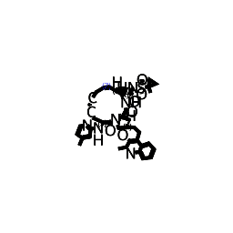 Cc1ccnc(N[C@H]2CCCCC/C=C\[C@@H]3C[C@@]3(C(=O)NS(=O)(=O)C3(C)CC3)NC(=O)[C@@H]3C[C@]4(CCc5c(c(C)nc6ccccc56)O4)CN3C2=O)c1